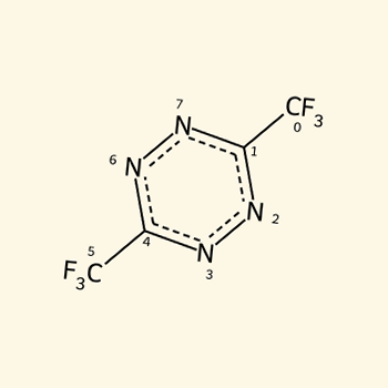 FC(F)(F)c1nnc(C(F)(F)F)nn1